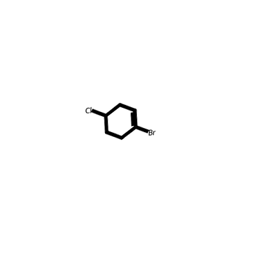 ClC1CC=C(Br)CC1